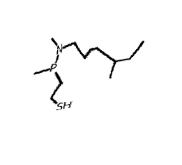 CCC(C)CCCN(C)P(C)CCS